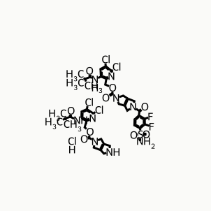 CC(C)(C)C(=O)Nc1cc(Cl)c(Cl)nc1COC(=O)N1CC2=C(C1)CN(C(=O)c1ccc(S(N)(=O)=O)c(F)c1F)C2.CC(C)(C)C(=O)Nc1cc(Cl)c(Cl)nc1COC(=O)N1CC2=C(CNC2)C1.Cl